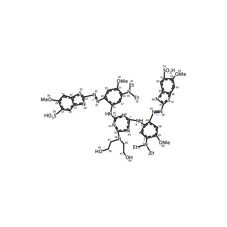 CCN(CC)c1cc(Nc2nc(Nc3cc(N(CC)CC)c(OC)cc3/N=N/c3nc4cc(S(=O)(=O)O)c(OC)cc4s3)nc(N(CCO)CCO)n2)c(/N=N/c2nc3cc(S(=O)(=O)O)c(OC)cc3s2)cc1OC